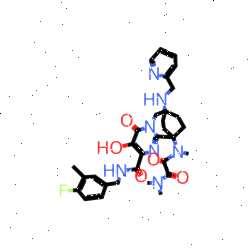 Cc1cc(CNC(=O)c2nc3n(c(=O)c2O)CC2(NCc4ccccn4)CCC3(N(C)C(=O)C(=O)N(C)C)CC2)ccc1F